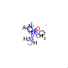 CC(=O)N1CC[C@@H]1C(=O)N[C@@H](CCN1[C@@H]2CC[C@H]1C[C@H](n1c(C)nc3ccccc31)C2)c1ccccc1